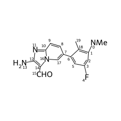 CNc1cc(F)cc(-c2ccc3nc(N)c(C=O)n3c2)c1C